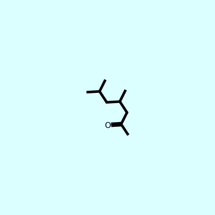 C[C](CC(C)=O)CC(C)C